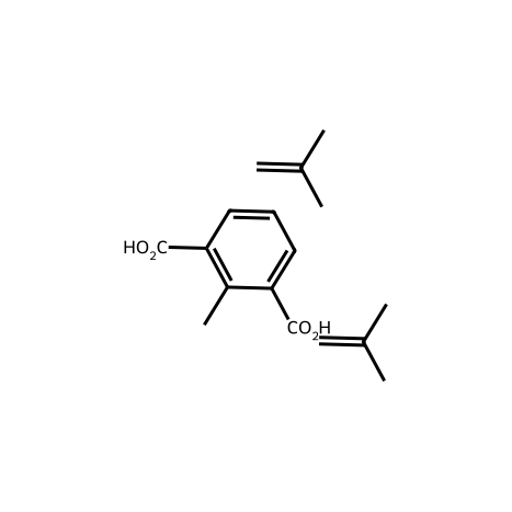 C=C(C)C.C=C(C)C.Cc1c(C(=O)O)cccc1C(=O)O